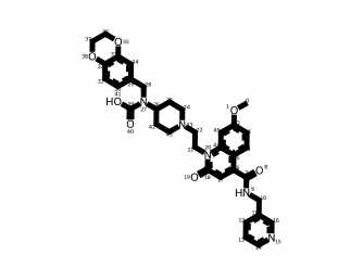 COc1ccc2c(C(=O)NCc3cccnc3)cc(=O)n(CCN3CCC(N(Cc4ccc5c(c4)OCCO5)C(=O)O)CC3)c2c1